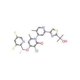 Cc1cnc(-c2csc(C(C)(C)O)n2)cc1-n1c(C)cc(O[C@H](C)c2ncc(F)cc2F)c(Cl)c1=O